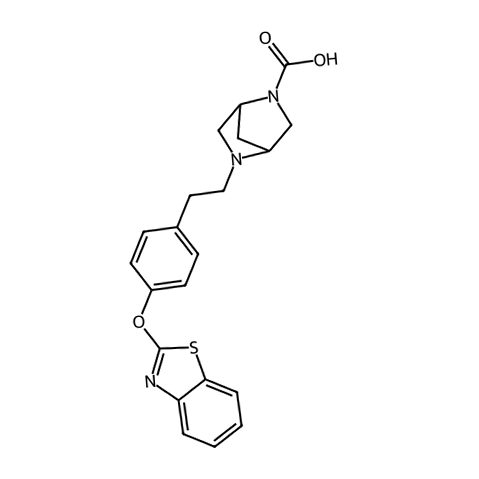 O=C(O)N1CC2CC1CN2CCc1ccc(Oc2nc3ccccc3s2)cc1